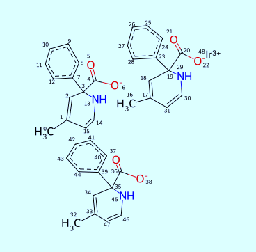 CC1=CC(C(=O)[O-])(c2ccccc2)NC=C1.CC1=CC(C(=O)[O-])(c2ccccc2)NC=C1.CC1=CC(C(=O)[O-])(c2ccccc2)NC=C1.[Ir+3]